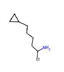 CCC(N)CCCCC1CC1